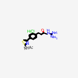 CC(=O)Nc1nc(-c2ccc(CCC(=O)CNC(=N)N)cc2)cs1.Cl